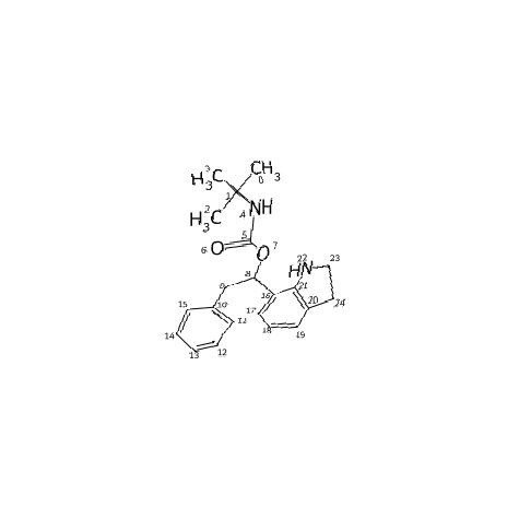 CC(C)(C)NC(=O)OC(Cc1ccccc1)c1cccc2c1NCC2